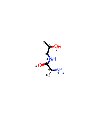 CC(O)CNC(=O)[C@@H](C)N